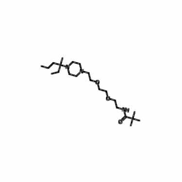 CCCC(C)(CC)N1CCN(CCOCCOCCNC(=O)C(C)(C)C)CC1